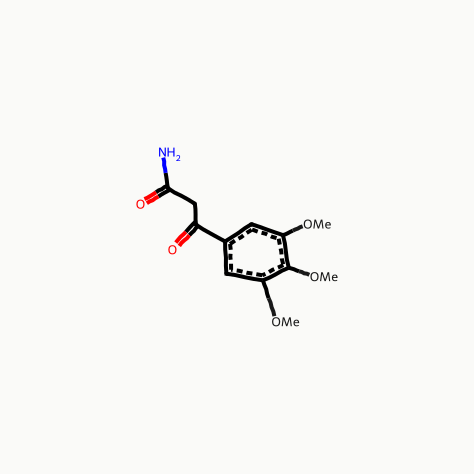 COc1cc(C(=O)CC(N)=O)cc(OC)c1OC